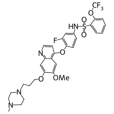 COc1cc2c(Oc3ccc(NS(=O)(=O)c4ccccc4OC(F)(F)F)cc3F)ccnc2cc1OCCCN1CCN(C)CC1